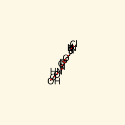 O=C(Cc1ccc(OCCCC2CCN(c3ncc(Cl)cn3)CC2)cc1F)N1CC(CNCCOCCOCCO)C1